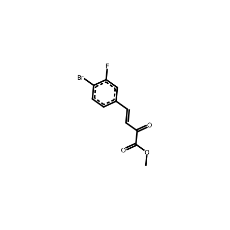 COC(=O)C(=O)C=Cc1ccc(Br)c(F)c1